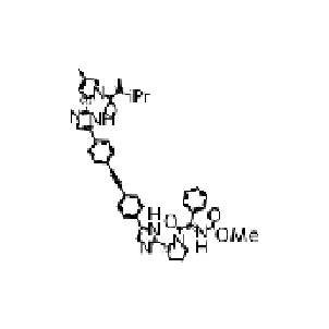 COC(=O)N[C@@H](C(=O)N1CCC[C@H]1c1ncc(-c2ccc(C#Cc3ccc(-c4cnc([C@@H]5C=C(C)CN5C(=O)[C@@H](C)C(C)C)[nH]4)cc3)cc2)[nH]1)c1ccccc1